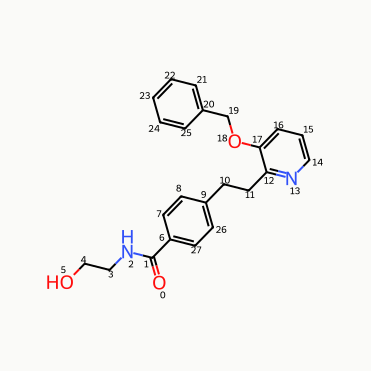 O=C(NCCO)c1ccc(CCc2ncccc2OCc2ccccc2)cc1